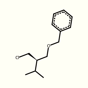 CC(C)[C@@H](CCl)COCc1ccccc1